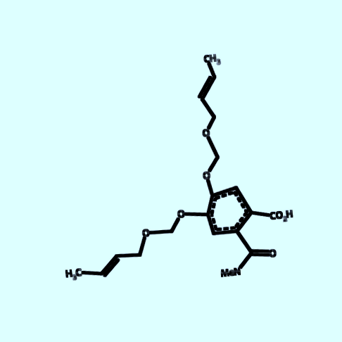 CC=CCOCOc1cc(C(=O)O)c(C(=O)NC)cc1OCOCC=CC